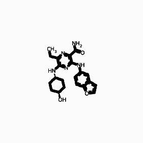 CCc1nc(C(N)=O)c(Nc2ccc3occc3c2)nc1N[C@H]1CC[C@H](O)CC1